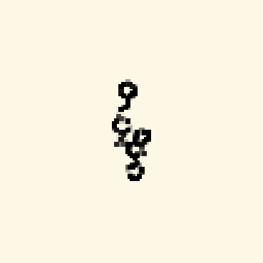 CN(c1cc(-c2ccccc2)nc2ccccc12)C1CCN(CCc2ccccc2)CC1